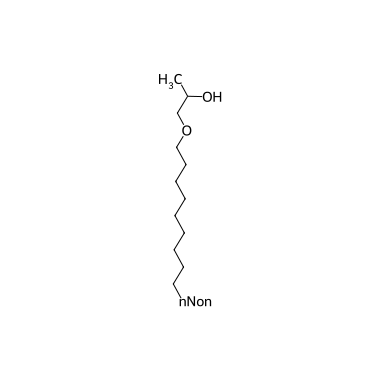 CCCCCCCCCCCCCCCCCCOCC(C)O